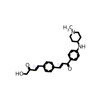 CN1CCC(Nc2ccc(C(=O)/C=C/c3ccc(/C=C/C(=O)CO)cc3)cc2)CC1